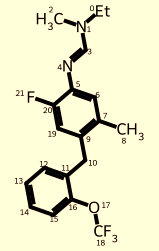 CCN(C)C=Nc1cc(C)c(Cc2ccccc2OC(F)(F)F)cc1F